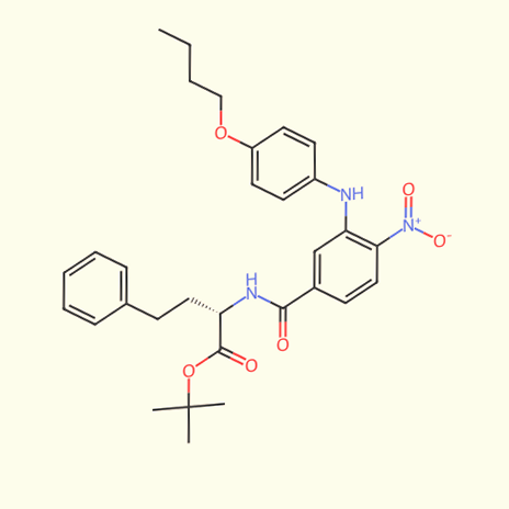 CCCCOc1ccc(Nc2cc(C(=O)N[C@@H](CCc3ccccc3)C(=O)OC(C)(C)C)ccc2[N+](=O)[O-])cc1